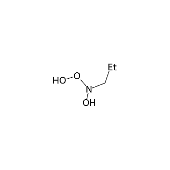 CCCN(O)OO